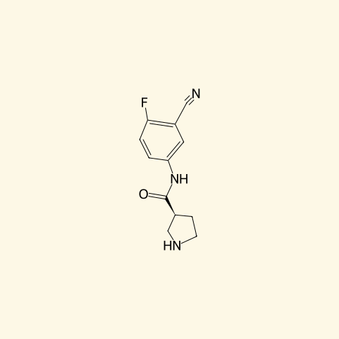 N#Cc1cc(NC(=O)[C@H]2CCNC2)ccc1F